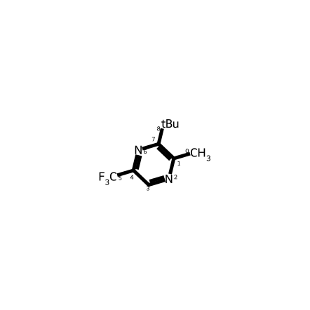 Cc1ncc(C(F)(F)F)nc1C(C)(C)C